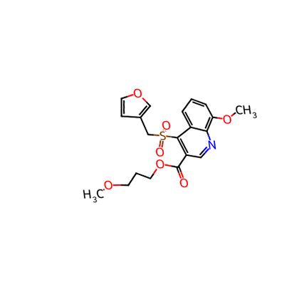 COCCCOC(=O)c1cnc2c(OC)cccc2c1S(=O)(=O)Cc1ccoc1